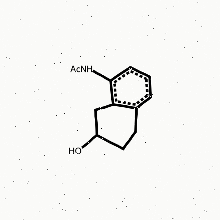 CC(=O)Nc1cccc2c1CC(O)CC2